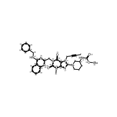 CC#CCn1c(N2CCCC(NC(=O)OC(C)(C)C)C2)nc2c1c(=O)n(Cc1nc(NCc3ccccc3)c3ccccc3n1)c(=O)n2C